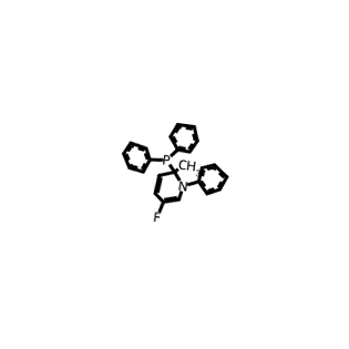 CC1(P(c2ccccc2)c2ccccc2)C=CC(F)=CN1c1ccccc1